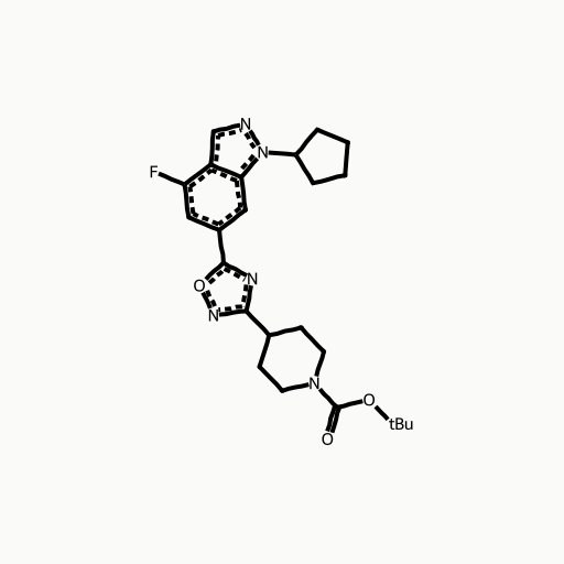 CC(C)(C)OC(=O)N1CCC(c2noc(-c3cc(F)c4cnn(C5CCCC5)c4c3)n2)CC1